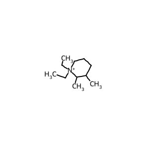 CC[N+]1(CC)CCCC(C)C1C